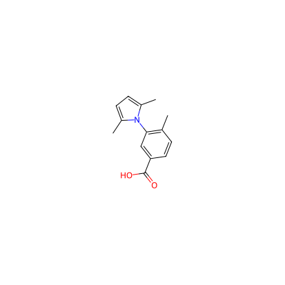 Cc1ccc(C(=O)O)cc1-n1c(C)ccc1C